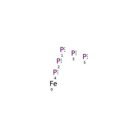 [Fe].[P].[P].[P].[P].[P]